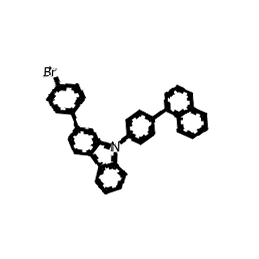 Brc1ccc(-c2ccc3c4ccccc4n(-c4ccc(-c5cccc6ccccc56)cc4)c3c2)cc1